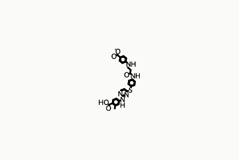 COC(=O)c1ccc(NCCC(=O)Nc2ccc(Sc3ccnc(Nc4ccc(C(=O)O)c(C)c4)n3)cc2)cc1